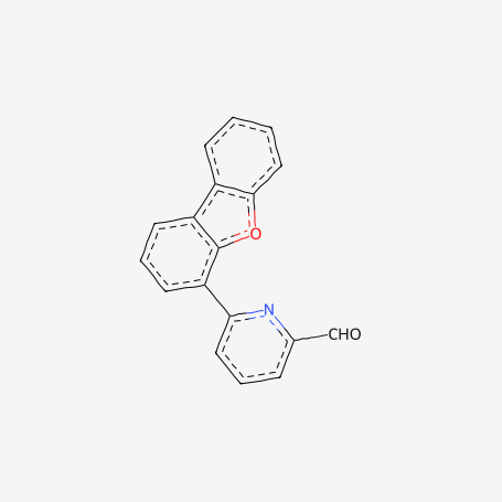 O=Cc1cccc(-c2cccc3c2oc2ccccc23)n1